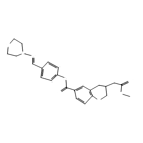 CCCCCCCCOC(=O)CC1COc2ccc(C(=O)Nc3ccc(C=NN4CCOCC4)cc3)cc2C1